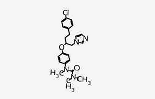 CN(C)C(=O)N(C)c1ccc(OC(CCc2ccc(Cl)cc2)Cn2ccnc2)cc1